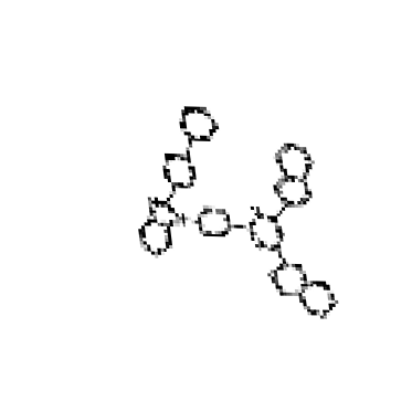 c1ccc(-c2ccc(-c3nc4ccccc4n3-c3ccc(-c4nc(-c5ccc6ccccc6c5)cc(-c5ccc6ccccc6c5)n4)cc3)cc2)cc1